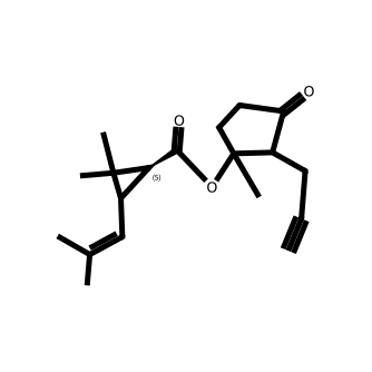 C#CCC1C(=O)CCC1(C)OC(=O)[C@H]1C(C=C(C)C)C1(C)C